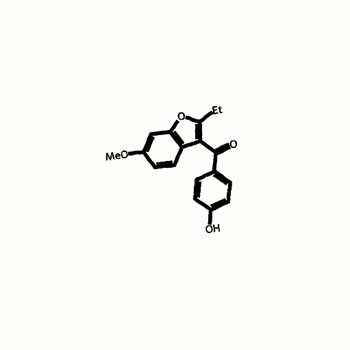 CCc1oc2cc(OC)ccc2c1C(=O)c1ccc(O)cc1